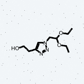 CCOC(Cn1cc(CCO)nn1)OCC